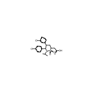 CC(C)N1C(c2ccc(Cl)cc2)C(c2cccc(Cl)c2)CC(CC(=O)O)S1(=O)=O